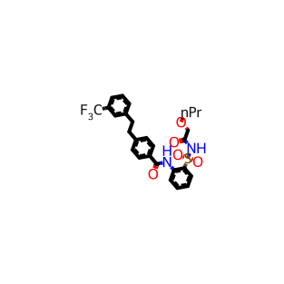 CCCOCC(=O)NS(=O)(=O)c1ccccc1NC(=O)c1ccc(CCc2cccc(C(F)(F)F)c2)cc1